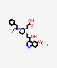 C=C(Cc1ccccc1)N1CC[C@@H](CC[C@@H](O)c2ccnc3ccc(OC)cc23)[C@H](CCC(=O)O)C1